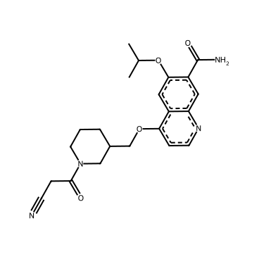 CC(C)Oc1cc2c(OCC3CCCN(C(=O)CC#N)C3)ccnc2cc1C(N)=O